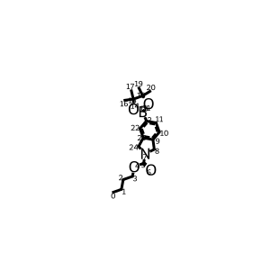 CCCCOC(=O)N1Cc2ccc(B3OC(C)(C)C(C)(C)O3)cc2C1